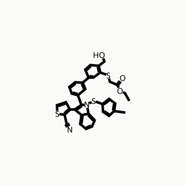 CCOC(=O)CSc1cc(-c2cccc(-c3c(-c4ccsc4C#N)c4ccccc4n3Sc3ccc(C)cc3)c2)ccc1CO